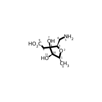 C[C@H]1O[C@H](CN)[C@@](O)(CC(=O)O)[C@@H]1O